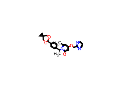 Cc1cc(OCc2ncccn2)cc(=O)n1[C@H](C)c1ccc(C2OCC3(CC3)CO2)cc1